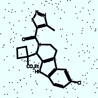 CCOC(=O)C1(C2c3[nH]c4ccc(Cl)cc4c3CCN2C(=O)c2snnc2C)CCC1